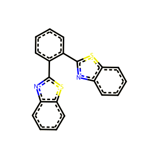 c1ccc(-c2nc3ccccc3s2)c(-c2nc3ccccc3s2)c1